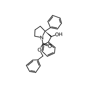 O=C(OCc1ccccc1)N1CCC[C@@]1(c1ccccc1)C(O)c1ccccc1